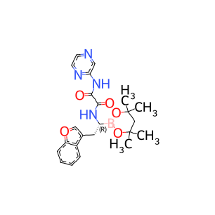 CC1(C)CC(C)(C)OB([C@H](Cc2coc3ccccc23)NC(=O)C(=O)Nc2cnccn2)O1